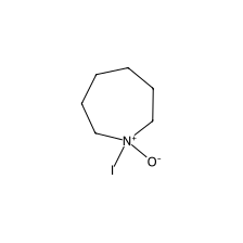 [O-][N+]1(I)CCCCCC1